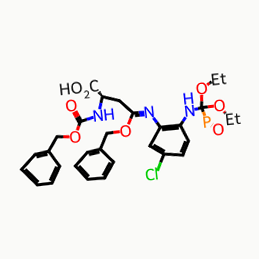 CCOC(Nc1ccc(Cl)cc1N=C(C[C@@H](NC(=O)OCc1ccccc1)C(=O)O)OCc1ccccc1)(OCC)P=O